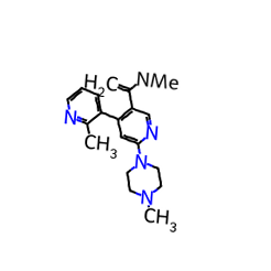 C=C(NC)c1cnc(N2CCN(C)CC2)cc1-c1cccnc1C